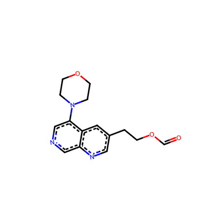 O=COCCc1cnc2cncc(N3CCOCC3)c2c1